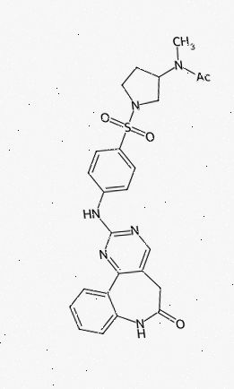 CC(=O)N(C)C1CCN(S(=O)(=O)c2ccc(Nc3ncc4c(n3)-c3ccccc3NC(=O)C4)cc2)C1